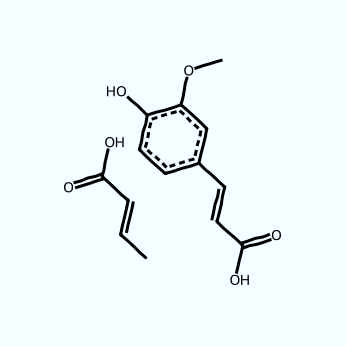 CC=CC(=O)O.COc1cc(C=CC(=O)O)ccc1O